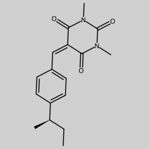 CC[C@@H](C)c1ccc(C=C2C(=O)N(C)C(=O)N(C)C2=O)cc1